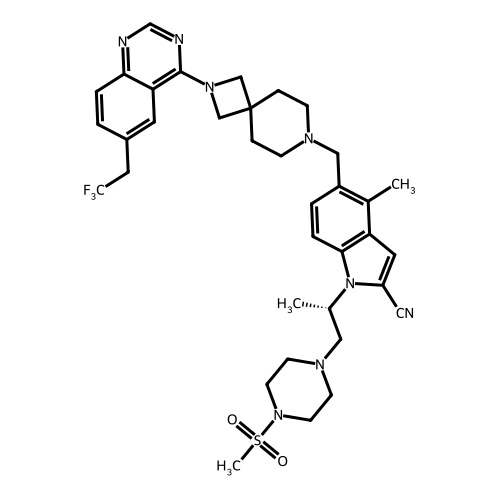 Cc1c(CN2CCC3(CC2)CN(c2ncnc4ccc(CC(F)(F)F)cc24)C3)ccc2c1cc(C#N)n2[C@@H](C)CN1CCN(S(C)(=O)=O)CC1